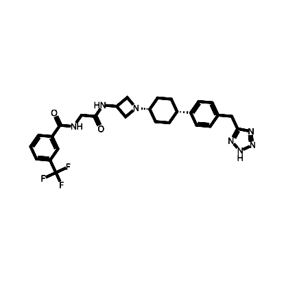 O=C(CNC(=O)c1cccc(C(F)(F)F)c1)NC1CN([C@H]2CC[C@@H](c3ccc(Cc4nn[nH]n4)cc3)CC2)C1